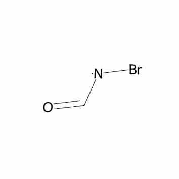 O=C[N]Br